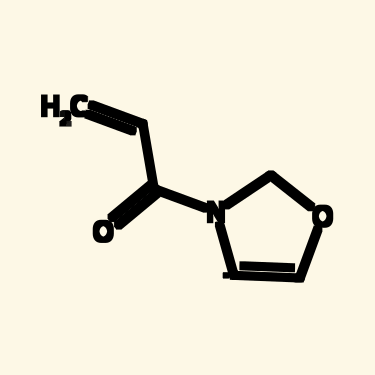 C=CC(=O)N1[C]=COC1